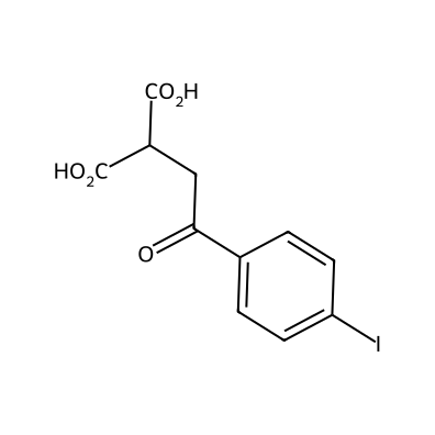 O=C(CC(C(=O)O)C(=O)O)c1ccc(I)cc1